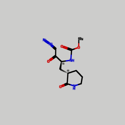 CC(C)(C)OC(=O)N[C@@H](C[C@@H]1CCCNC1=O)C(=O)C=[N+]=[N-]